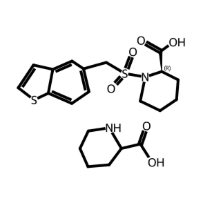 O=C(O)C1CCCCN1.O=C(O)[C@H]1CCCCN1S(=O)(=O)Cc1ccc2sccc2c1